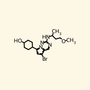 COCCC(C)Nc1ncc2c(Br)cc(C3CCC(O)CC3)n2n1